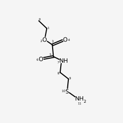 CCOC(=O)C(=O)NCCSN